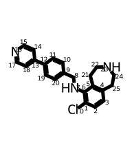 Clc1ccc2c(c1NCc1ccc(-c3ccncc3)cc1)CCNCC2